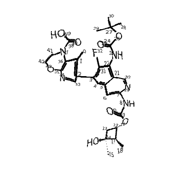 Cc1c(-c2cc3cc(NC(=O)O[C@H]4C[C@](C)(O)[C@@H]4C)ncc3c(NC(=O)OC(C)(C)C)c2F)cnc2c1N(C(=O)O)CCO2